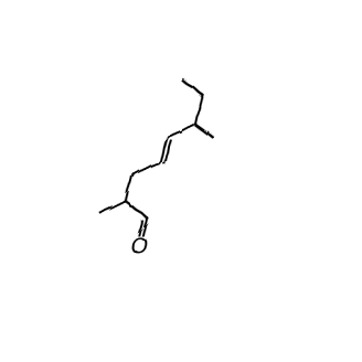 CCC(C)C=CCC(C)C=O